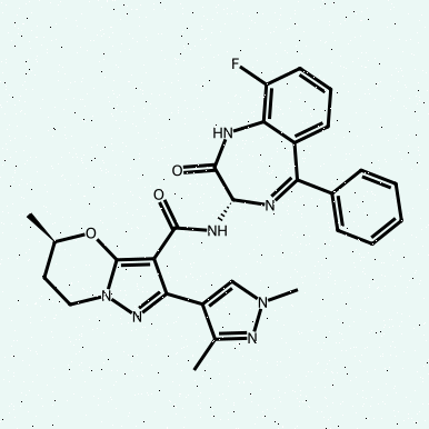 Cc1nn(C)cc1-c1nn2c(c1C(=O)N[C@H]1N=C(c3ccccc3)c3cccc(F)c3NC1=O)O[C@H](C)CC2